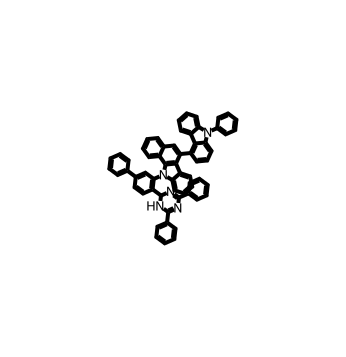 c1ccc(C2=NC(c3ccc(-c4ccccc4)cc3-n3c4ccccc4c4c(-c5cccc6c5c5ccccc5n6-c5ccccc5)cc5ccccc5c43)NC(c3ccccc3)=N2)cc1